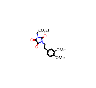 CCOC(=O)CN1C(=O)C(=O)N(CCc2ccc(OC)c(OC)c2)C1=O